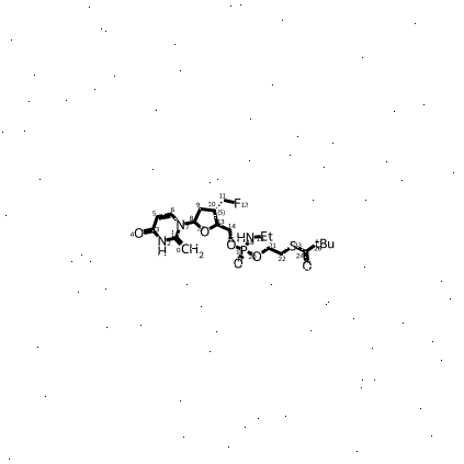 C=C1NC(=O)C=CN1C1C[C@H](CF)C(COP(=O)(NCC)OCCSC(=O)C(C)(C)C)O1